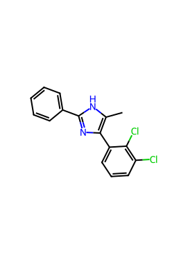 Cc1[nH]c(-c2ccccc2)nc1-c1cccc(Cl)c1Cl